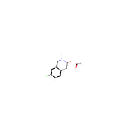 CC(=O)OC1Cc2ccc(Cl)cc2CN1